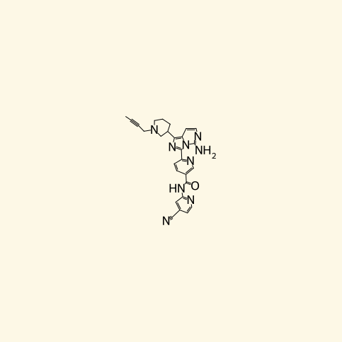 CC#CCN1CCCC(c2nc(-c3ccc(C(=O)Nc4cc(C#N)ccn4)cn3)n3c(N)nccc23)C1